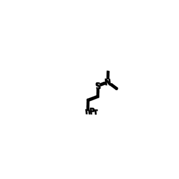 CCCCCSN(C)C